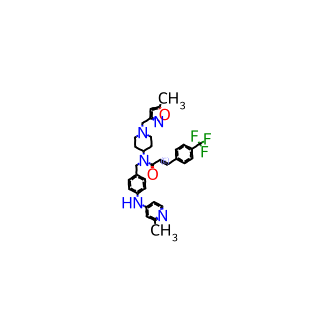 Cc1cc(Nc2ccc(CN(C(=O)/C=C/c3ccc(C(F)(F)F)cc3)C3CCN(Cc4cc(C)on4)CC3)cc2)ccn1